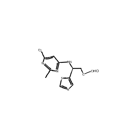 Cc1nc(Cl)cc(NC(COC=O)c2cncs2)n1